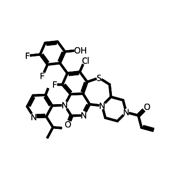 C=CC(=O)N1CCN2c3nc(=O)n(-c4c(C)ccnc4C(C)C)c4c(F)c(-c5c(O)ccc(F)c5F)c(Cl)c(c34)SCC2C1